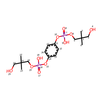 CC(C)(CO)COP(=O)(O)Oc1ccc(OP(=O)(O)OCC(C)(C)CO)cc1